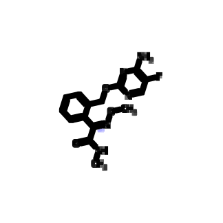 CNC(=O)/C(=N/OC)c1ccccc1COc1ncc(F)c(N)n1